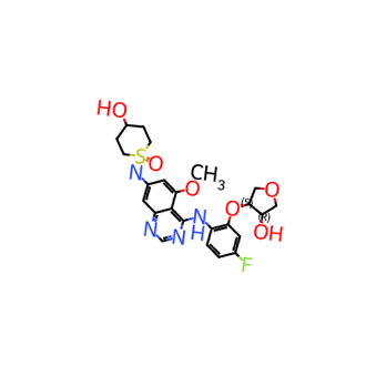 COc1cc(N=S2(=O)CCC(O)CC2)cc2ncnc(Nc3ccc(F)cc3O[C@H]3COC[C@H]3O)c12